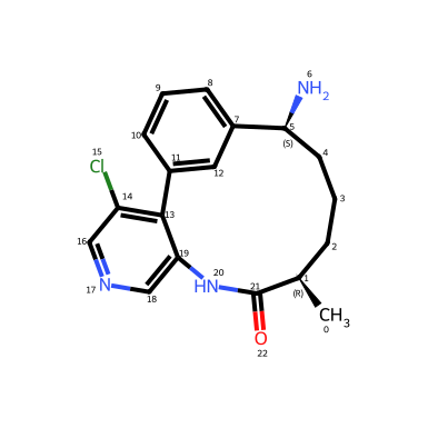 C[C@@H]1CCC[C@H](N)c2cccc(c2)-c2c(Cl)cncc2NC1=O